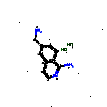 Cl.Cl.NCc1ccc2c(N)nccc2c1